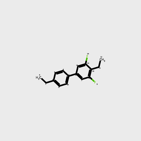 CCc1ccc(-c2cc(F)c(CC)c(F)c2)cc1